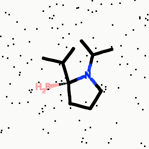 B[C@@]1(C(C)C)CCCN1C(C)C